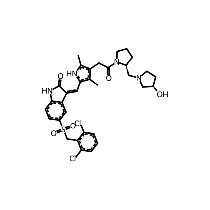 Cc1[nH]c(/C=C2\C(=O)Nc3ccc(S(=O)(=O)Cc4c(Cl)cccc4Cl)cc32)c(C)c1CC(=O)N1CCC[C@H]1CN1CC[C@@H](O)C1